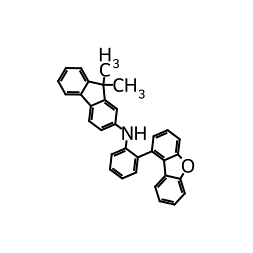 CC1(C)c2ccccc2-c2ccc(Nc3ccccc3-c3cccc4oc5ccccc5c34)cc21